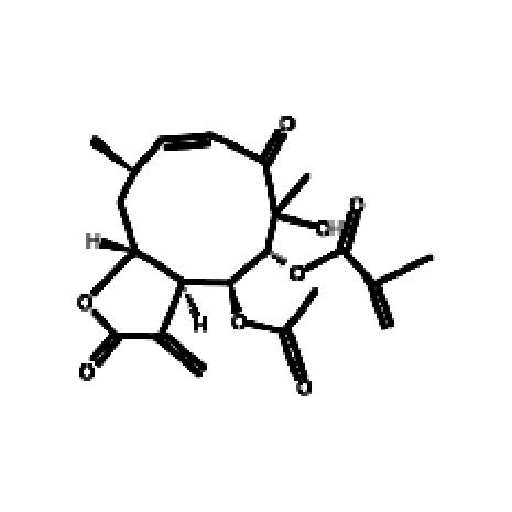 C=C(C)C(=O)O[C@@H]1[C@@H](OC(C)=O)[C@H]2C(=C)C(=O)O[C@@H]2C[C@@H](C)/C=C\C(=O)C1(C)O